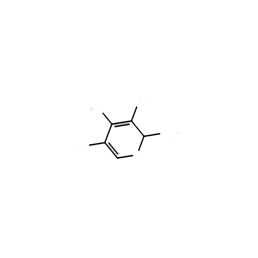 O=C(O)C1OC=C(O)C(O)=C1O